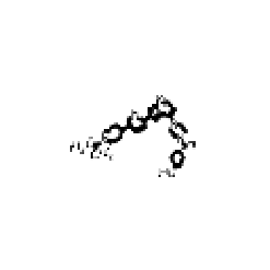 CC(C)N1CCC(c2ccc(-c3cc4c(N5CCN(C(=O)[C@H]6CC[C@H](O)CC6)CC5)ccnn4c3)nc2)CC1